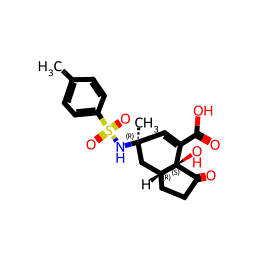 Cc1ccc(S(=O)(=O)N[C@@]2(C)C=C(C(=O)O)[C@]3(O)C(=O)CC[C@@H]3C2)cc1